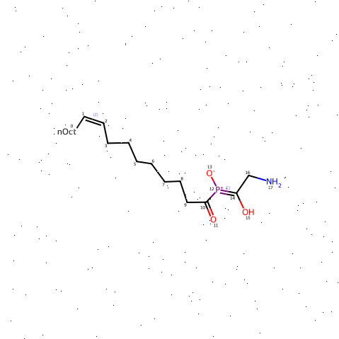 CCCCCCCC/C=C\CCCCCCCC(=O)/[P+]([O-])=C(\O)CN